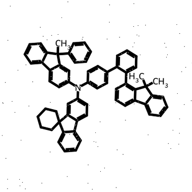 CC1(C)c2ccccc2-c2cccc(-c3ccccc3-c3ccc(N(c4ccc5c(c4)C4(CCCCC4)c4ccccc4-5)c4ccc5c(c4)C(C)(c4ccccc4)c4ccccc4-5)cc3)c21